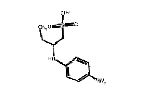 CCC(CS(=O)(=O)O)Nc1ccc(N)cc1